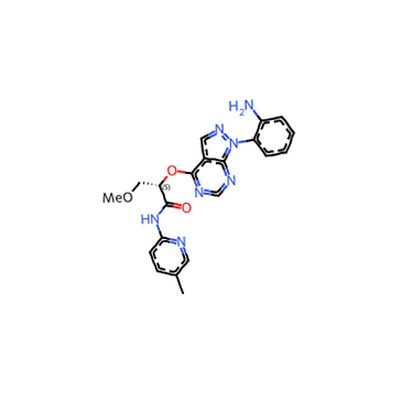 COC[C@H](Oc1ncnc2c1cnn2-c1ccccc1N)C(=O)Nc1ccc(C)cn1